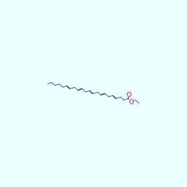 CCCCC/C=C/C/C=C/C/C=C/C/C=C/C/C=C/CCC(=O)OCC